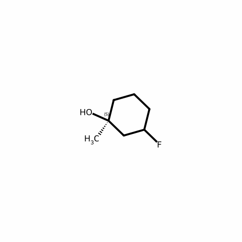 C[C@]1(O)CCCC(F)C1